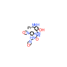 CC(C)c1n[nH]c2cc(O)c(-c3nnc(C(=O)NCCN4CCOCC4)n3-c3ccc(N4CCOCC4)cc3)cc12